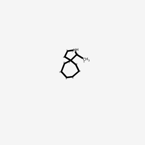 CC1NCCC12CCCCCC2